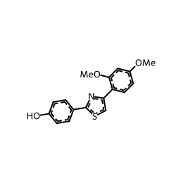 COc1ccc(-c2csc(-c3ccc(O)cc3)n2)c(OC)c1